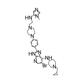 Cn1cncc1NCCN1CCN(c2ccc(-c3nc4c(NC5CCN(CC6CC6)CC5)c(Br)cnc4[nH]3)cc2)CC1